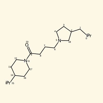 CC(C)CC1CCN(CCCC(=O)N2CCC(C(C)C)CC2)C1